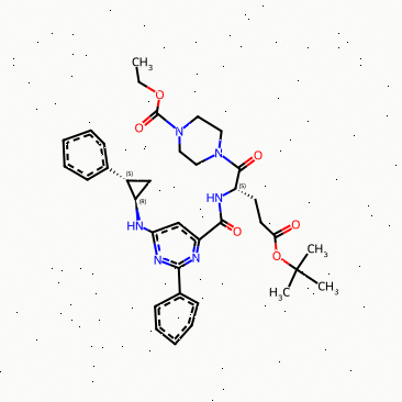 CCOC(=O)N1CCN(C(=O)[C@H](CCC(=O)OC(C)(C)C)NC(=O)c2cc(N[C@@H]3C[C@H]3c3ccccc3)nc(-c3ccccc3)n2)CC1